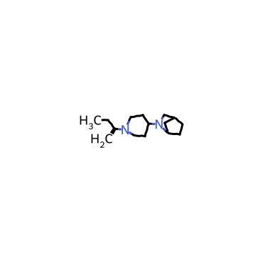 C=C(CC)N1CCC(N2CC3CCC2C3)CC1